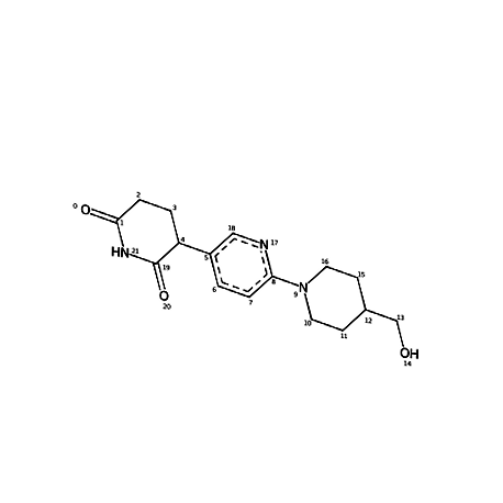 O=C1CCC(c2ccc(N3CCC(CO)CC3)nc2)C(=O)N1